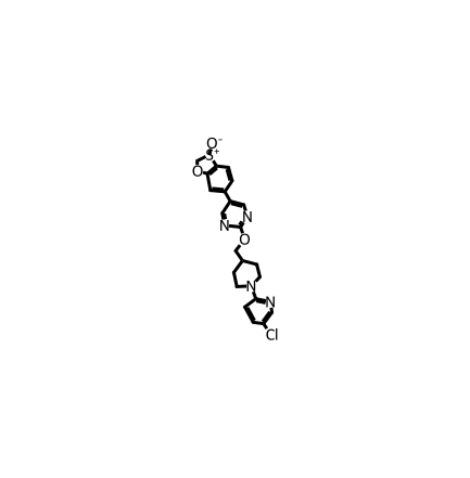 [O-][S+]1COc2cc(-c3cnc(OCC4CCN(c5ccc(Cl)cn5)CC4)nc3)ccc21